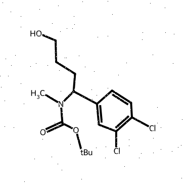 CN(C(=O)OC(C)(C)C)C(CCCO)c1ccc(Cl)c(Cl)c1